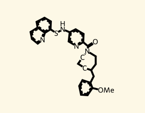 COc1ccccc1CC1CCCN(C(=O)c2ccc(NSc3cccc4cccnc34)cn2)CC1